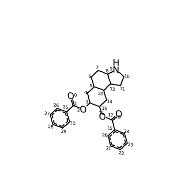 O=C(OC1CC2CCC3NCCC3C2CC1OC(=O)c1ccccc1)c1ccccc1